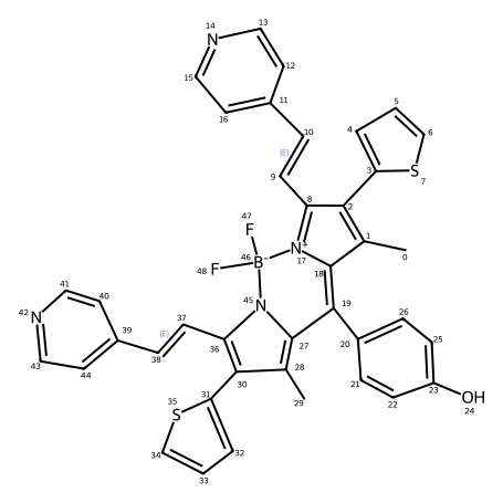 CC1=C(c2cccs2)C(/C=C/c2ccncc2)=[N+]2C1=C(c1ccc(O)cc1)c1c(C)c(-c3cccs3)c(/C=C/c3ccncc3)n1[B-]2(F)F